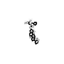 C[C@]12CC[C@H](OC(=O)N(CC(=O)O)Cc3ccccc3)CC1=CC[C@@H]1[C@@H]2CC[C@]2(C)C(c3cccnc3)=CC[C@@H]12